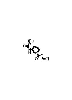 CC(C)(C)OC(=O)NC1CCCN(C(=O)OCCl)C1